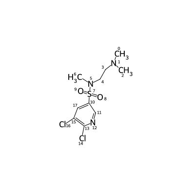 CN(C)CCN(C)S(=O)(=O)c1cnc(Cl)c(Cl)c1